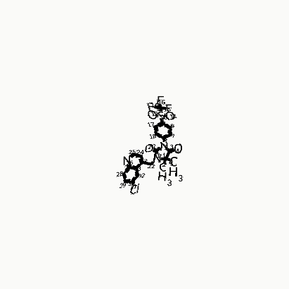 CC1(C)C(=O)N(c2ccc(S(=O)(=O)C(F)(F)F)cc2)C(=O)N1Cc1ccnc2ccc(Cl)cc12